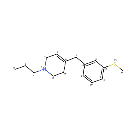 CCCN1CC=C(Cc2cccc(SC)c2)CC1